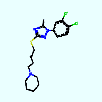 Cc1nc(SCCCCN2CCCCC2)nn1-c1ccc(Cl)c(Cl)c1